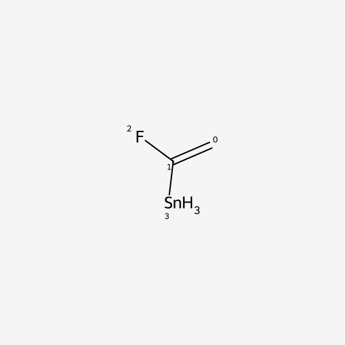 C=[C](F)[SnH3]